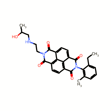 CCc1cccc(C)c1N1C(=O)c2ccc3c4c(ccc(c24)C1=O)C(=O)N(CCNCC(C)O)C3=O